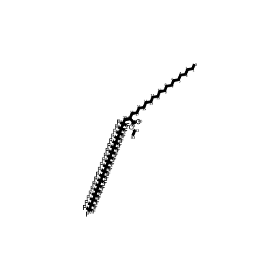 CCCCCCCCCCCCCCCCCCCC(=CC(F)(F)C(F)(F)C(F)(F)C(F)(F)C(F)(F)C(F)(F)C(F)(F)C(F)(F)C(F)(F)C(F)(F)C(F)(F)C(F)(F)C(F)(F)C(F)(F)C(F)(F)C(F)(F)C(F)(F)C(F)(F)C(F)(F)F)C(=O)OCC